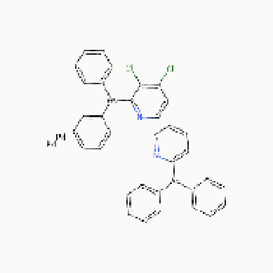 Clc1ccnc([As](c2ccccc2)c2ccccc2)c1Cl.[Pd].[Pd].c1ccc([As](c2ccccc2)c2ccccn2)cc1